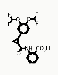 O=C(O)c1ccccc1NC(=O)C1CC1c1ccc(OC(F)F)c(OC(F)F)c1